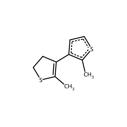 CC1=C(c2ccsc2C)CCS1